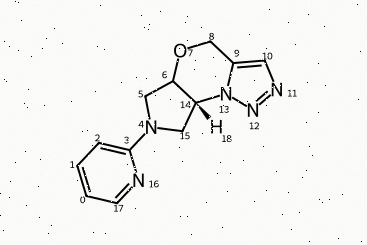 c1ccc(N2CC3OCc4cnnn4[C@@H]3C2)nc1